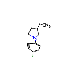 CCC1CCN(c2ccc(F)cc2)C1